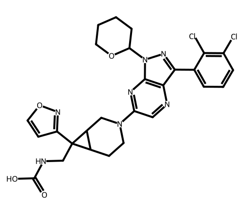 O=C(O)NCC1(c2ccon2)C2CCN(c3cnc4c(-c5cccc(Cl)c5Cl)nn(C5CCCCO5)c4n3)CC21